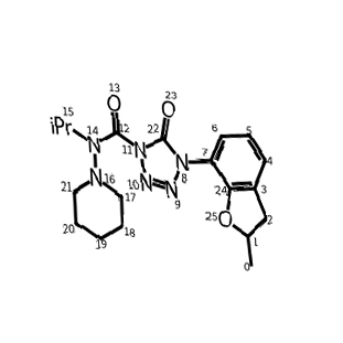 CC1Cc2cccc(-n3nnn(C(=O)N(C(C)C)N4CCCCC4)c3=O)c2O1